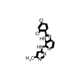 Cc1cc(Nc2nccc3nc(-c4ccc(Cl)cc4Cl)[nH]c23)ncn1